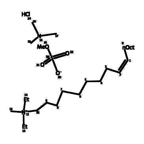 CCCCCCCC/C=C\CCCCCCCC[N+](C)(CC)CC.CN(C)C.COS(=O)(=O)[O-].Cl